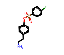 NCCc1ccc(OS(=O)(=O)c2ccc(F)cc2)cc1